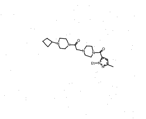 CCn1nc(C)cc1C(=O)N1CCN(CC(=O)N2CCN(C3CCC3)CC2)CC1